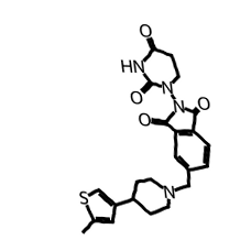 Cc1cc(C2CCN(Cc3ccc4c(c3)C(=O)N(N3CCC(=O)NC3=O)C4=O)CC2)cs1